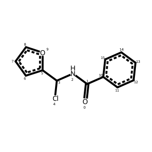 O=C(NC(Cl)c1ccco1)c1ccccc1